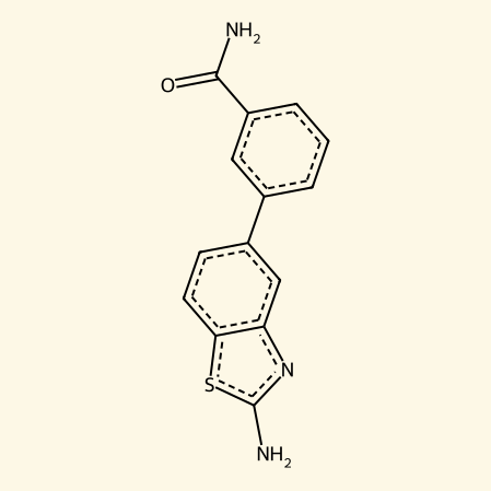 NC(=O)c1cccc(-c2ccc3sc(N)nc3c2)c1